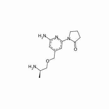 C[C@@H](N)COCc1cc(N)nc(N2CCCC2=O)c1